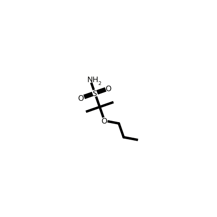 CCCOC(C)(C)S(N)(=O)=O